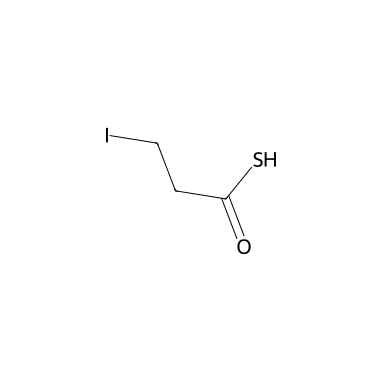 O=C(S)CCI